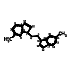 Cc1ccc2c(c1)[C](CC[C]1C=Cc3ccc(C)cc31)C=C2